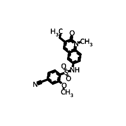 CCc1cc2cc(NS(=O)(=O)c3ccc(C#N)cc3OC)ccc2n(C)c1=O